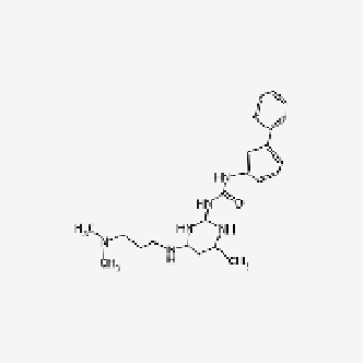 CC1CC(NCCCN(C)C)NC(NC(=O)Nc2cccc(-c3ccccc3)c2)N1